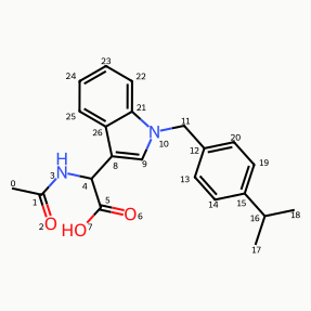 CC(=O)NC(C(=O)O)c1cn(Cc2ccc(C(C)C)cc2)c2ccccc12